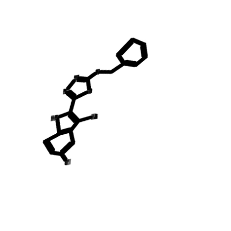 CCc1c(-c2nnc(SCc3ccccc3)o2)[nH]c2ccc(Cl)cc12